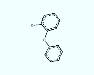 [K][c]1ccccc1Oc1ccccc1